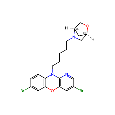 Brc1ccc2c(c1)Oc1cc(Br)cnc1N2CCCCCN1C[C@H]2C[C@@H]1CO2